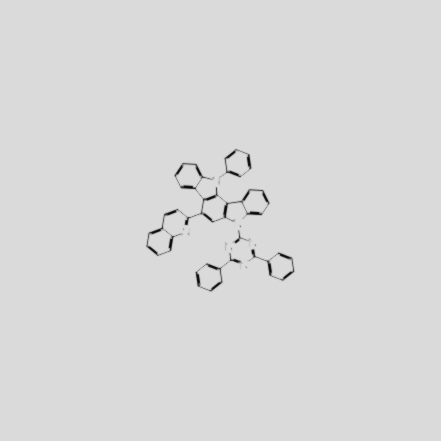 c1ccc(-c2nc(-c3ccccc3)nc(-n3c4ccccc4c4c3cc(-c3ccc5ccccc5n3)c3c5ccccc5n(-c5ccccc5)c34)n2)cc1